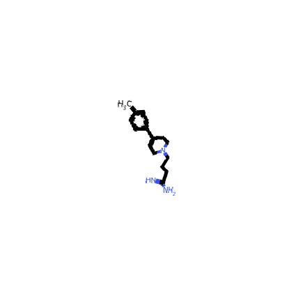 Cc1ccc(C2=CCN(CCCC(=N)N)CC2)cc1